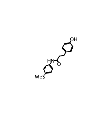 CSc1ccc(NC(=O)CCc2ccc(O)cc2)cc1